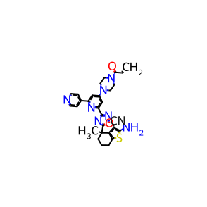 C=CC(=O)N1CCN(c2cc(-c3ccncc3)nc(-c3noc(C4(C)CCCc5sc(N)c(C#N)c54)n3)c2)CC1